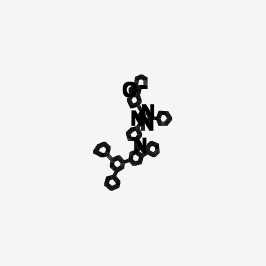 c1ccc(-c2cc(-c3ccccc3)cc(-c3ccc4c5ccccc5n(-c5cccc(-c6nc(-c7ccccc7)nc(-c7ccc8oc9ccccc9c8c7)n6)c5)c4c3)c2)cc1